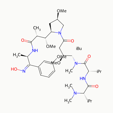 CC[C@H](C)[C@@H]([C@H](CC(=O)N1C[C@H](OC)C[C@@H]1[C@H](OC)[C@@H](C)C(=O)N[C@H](C)C(=NO)c1cccc(OC)c1)OC)N(C)C(=O)[C@@H](NC(=O)[C@H](C(C)C)N(C)C)C(C)C